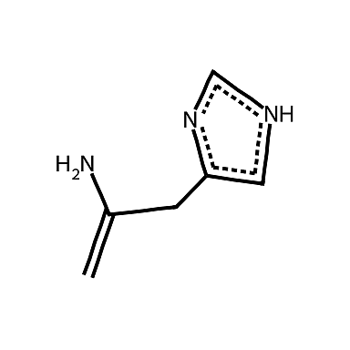 C=C(N)Cc1c[nH]cn1